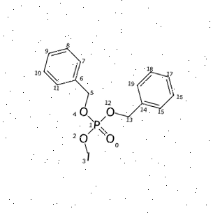 O=P(OI)(OCc1ccccc1)OCc1ccccc1